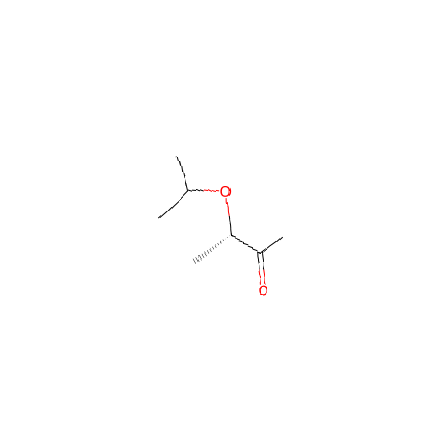 CC(=O)[C@H](C)OC(C)C